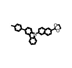 Cc1ccc(-c2ccc3c(c2)c2ccccc2n3-c2ccc3cc(C4OCCO4)ccc3c2)cc1